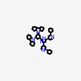 c1ccc(-c2cc(-c3cc(-c4ccnc(-c5ccccc5)c4)nc(-c4cc(-n5c6ccccc6c6ccccc65)cc(-n5c6ccccc6c6ccccc65)c4)n3)ccn2)cc1